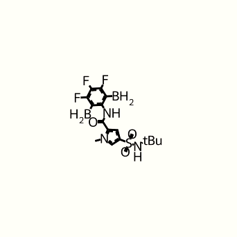 Bc1c(F)c(F)c(F)c(B)c1NC(=O)c1cc(S(=O)(=O)NC(C)(C)C)cn1C